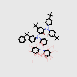 Bc1c(B)c(B)c(N(c2cccc(N(c3ccc4c(c3)C(C)(C)c3ccccc3-4)c3cc(C(C)(C)C)cc(N(c4ccc(C(C)(C)C)cc4)c4ccc(C(C)(C)C)cc4)c3Br)c2)c2c(B)c(B)c(B)c(B)c2B)c(B)c1B